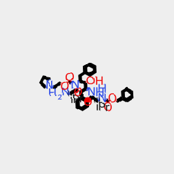 CC(C)[C@H](N)C(=O)N(C(=O)OCCN1CCCC1)C(Cc1ccccc1)C(O)C(Cc1ccccc1)NC(=O)[C@@H](NC(=O)OCc1ccccc1)C(C)C